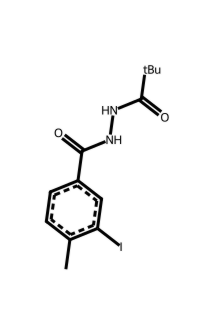 Cc1ccc(C(=O)NNC(=O)C(C)(C)C)cc1I